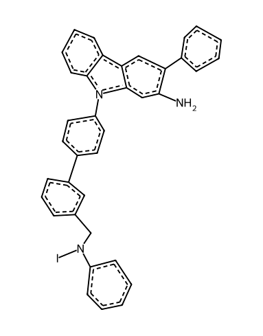 Nc1cc2c(cc1-c1ccccc1)c1ccccc1n2-c1ccc(-c2cccc(CN(I)c3ccccc3)c2)cc1